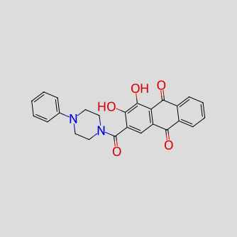 O=C1c2ccccc2C(=O)c2c1cc(C(=O)N1CCN(c3ccccc3)CC1)c(O)c2O